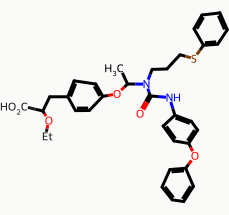 CCOC(Cc1ccc(OC(C)N(CCCSc2ccccc2)C(=O)Nc2ccc(Oc3ccccc3)cc2)cc1)C(=O)O